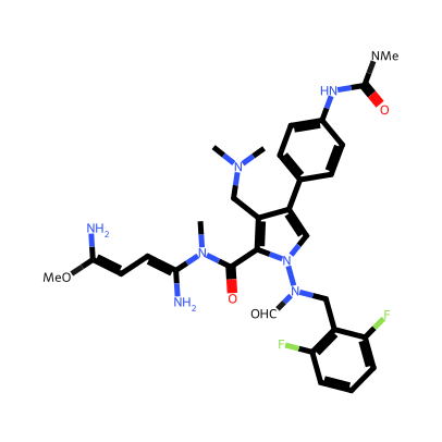 CNC(=O)Nc1ccc(-c2cn(N(C=O)Cc3c(F)cccc3F)c(C(=O)N(C)/C(N)=C/C=C(\N)OC)c2CN(C)C)cc1